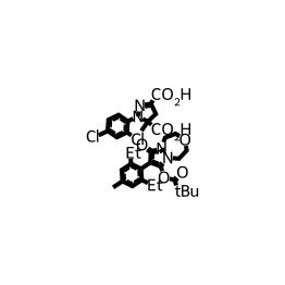 CC1(C(=O)O)CC(C(=O)O)=NN1c1ccc(Cl)cc1Cl.CCc1cc(C)cc(CC)c1-c1c(OC(=O)C(C)(C)C)n2n(c1=O)CCOCC2